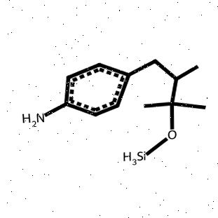 CC(Cc1ccc(N)cc1)C(C)(C)O[SiH3]